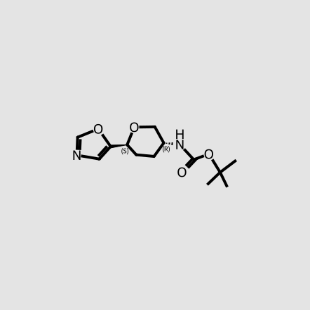 CC(C)(C)OC(=O)N[C@@H]1CC[C@@H](c2cnco2)OC1